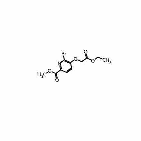 CCOC(=O)COc1ccc(C(=O)OC)nc1Br